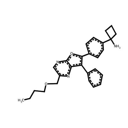 CCCCOCc1cnc2oc(-c3ccc(C4(N)CCC4)cc3)c(-c3ccccc3)c2n1